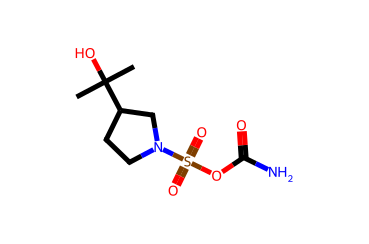 CC(C)(O)C1CCN(S(=O)(=O)OC(N)=O)C1